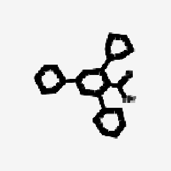 CCCC(=O)c1c(-c2ccccc2)cc(-c2ccccc2)cc1-c1ccccc1